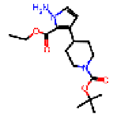 CCOC(=O)c1c(C2CCN(C(=O)OC(C)(C)C)CC2)ccn1N